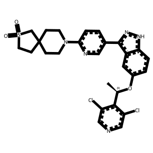 C[C@@H](Oc1ccc2[nH]nc(-c3ccc(N4CCC5(CC4)CCS(=O)(=O)C5)nc3)c2c1)c1c(Cl)cncc1Cl